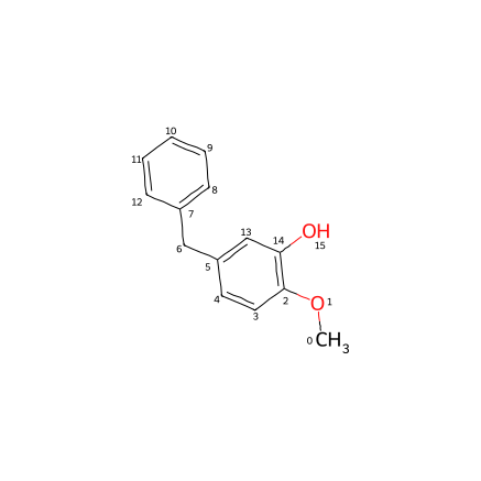 COc1ccc(Cc2ccccc2)cc1O